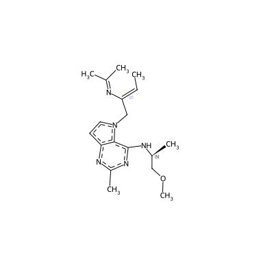 C/C=C(/Cn1ccc2nc(C)nc(N[C@@H](C)COC)c21)N=C(C)C